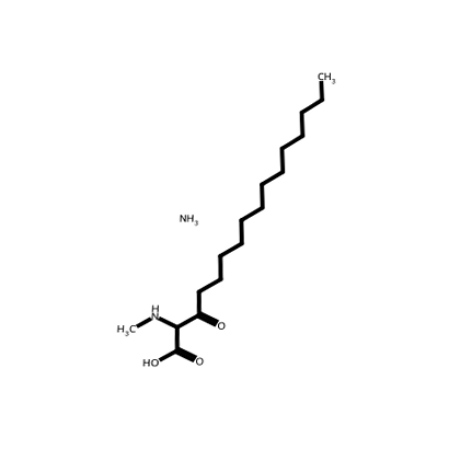 CCCCCCCCCCCCCC(=O)C(NC)C(=O)O.N